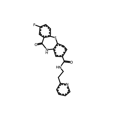 O=C(NCCc1ccccn1)c1ccc2c(c1)NC(=O)c1cc(F)ccc1S2